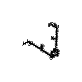 CC(C)=CCCC(C)CC(=O)OCCCCCCCCCN(CCCCCCCCCOC(=O)CC(CCC=C(C)C)CCC(C)CC(CC(C)C)OC(=O)CCCCCCCCCN(CCCCCCCCCC(=O)OC(CC(C)C)CC(C)C)CCN(C)C)CCN(C)C